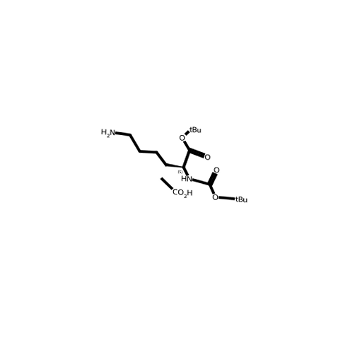 CC(=O)O.CC(C)(C)OC(=O)N[C@@H](CCCCN)C(=O)OC(C)(C)C